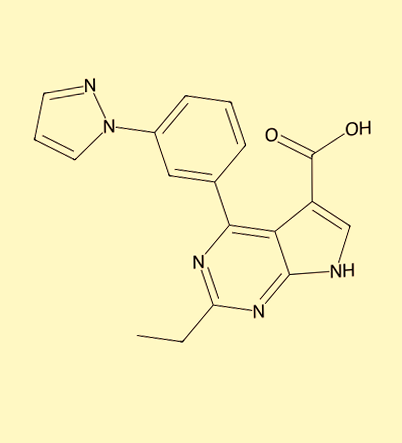 CCc1nc(-c2cccc(-n3cccn3)c2)c2c(C(=O)O)c[nH]c2n1